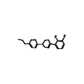 CCCc1ccc(C2CC=C(c3cccc(F)c3F)CC2)cc1